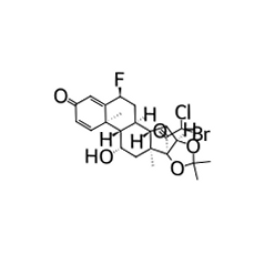 CC1(C)O[C@@H]2C[C@H]3[C@@H]4C[C@H](F)C5=CC(=O)C=C[C@]5(C)[C@H]4[C@@H](O)C[C@]3(C)[C@]2(C(=O)C(Cl)Br)O1